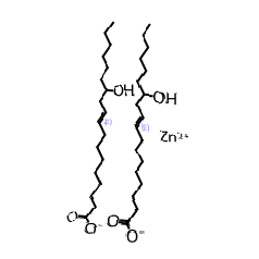 CCCCCCC(O)C/C=C/CCCCCCCC(=O)[O-].CCCCCCC(O)C/C=C/CCCCCCCC(=O)[O-].[Zn+2]